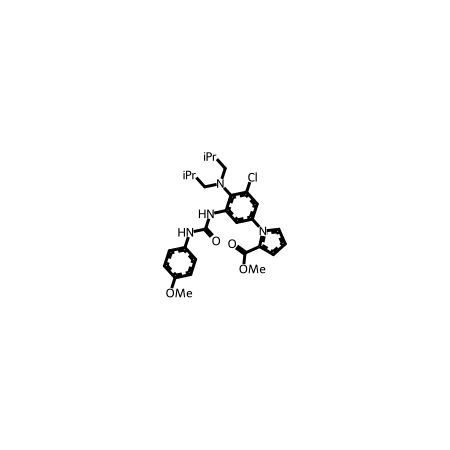 COC(=O)c1cccn1-c1cc(Cl)c(N(CC(C)C)CC(C)C)c(NC(=O)Nc2ccc(OC)cc2)c1